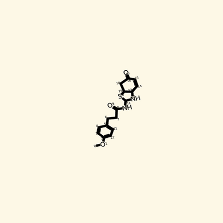 COc1ccc(CCC(=O)NC2NC3C=CC(=O)CC3S2)cc1